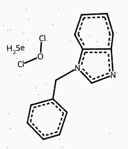 ClOCl.[SeH2].c1ccc(Cn2cnc3ccccc32)cc1